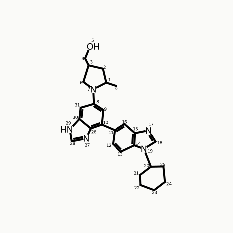 CC1CC(CO)CN1c1cc(-c2ccc3c(c2)ncn3C2CCCCC2)c2nc[nH]c2c1